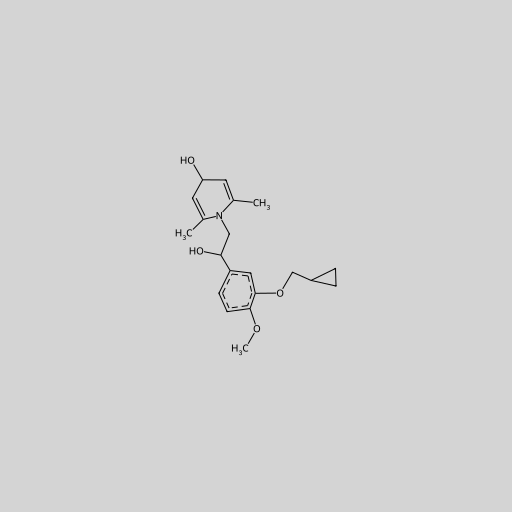 COc1ccc(C(O)CN2C(C)=CC(O)C=C2C)cc1OCC1CC1